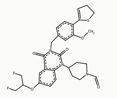 COc1cc(Cn2c(=O)c3cc(OC(CF)CF)ccc3n(C3CCN(C=O)CC3)c2=O)ccc1C1=CCCS1